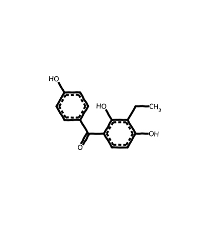 CCc1c(O)ccc(C(=O)c2ccc(O)cc2)c1O